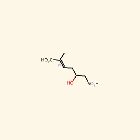 C/C(=C\CC(O)CS(=O)(=O)O)C(=O)O